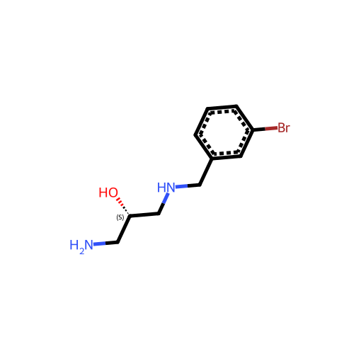 NC[C@H](O)CNCc1cccc(Br)c1